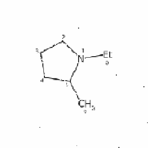 CCN1CCCC1C